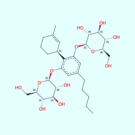 CCCCCc1cc(O[C@@H]2O[C@H](CO)[C@@H](O)[C@H](O)[C@H]2O)c([C@@H]2C=C(C)CCC2)c(O[C@@H]2O[C@H](CO)[C@@H](O)[C@H](O)[C@H]2O)c1